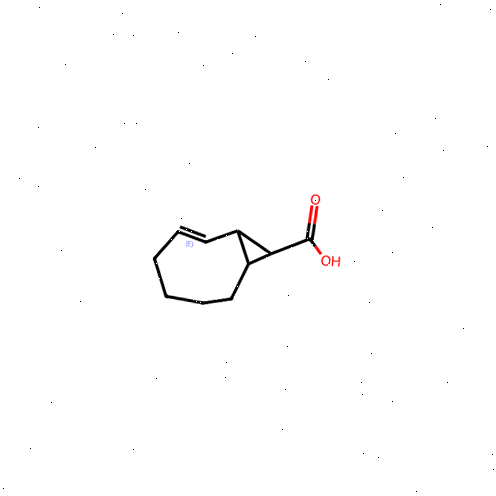 O=C(O)C1C2/C=C/CCCCC21